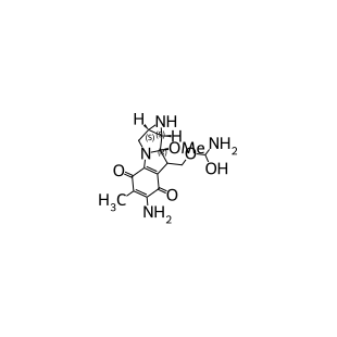 CO[C@@]12C(COC(N)O)C3=C(C(=O)C(C)=C(N)C3=O)N1C[C@@H]1N[C@@H]12